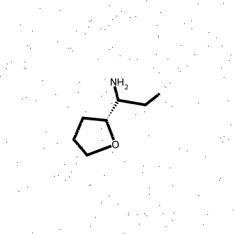 CCC(N)[C@H]1CCCO1